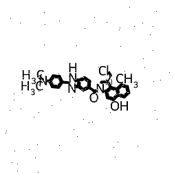 Cc1cccc2c(O)cc3c(c12)[C@H](CCl)CN3C(=O)c1ccc2[nH]c(-c3ccc(N(C)C)cc3)nc2c1